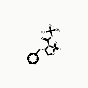 CC(C)(C)OC(=O)N1[C@@H](Cc2ccccc2)COS1(=O)=O